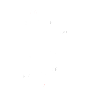 CCC(C)c1cc(C(O)(C(F)(F)F)C(F)(F)F)ccc1C(O)(C(F)(F)F)C(F)(F)F